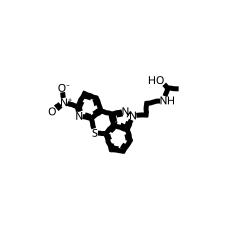 CC(O)NCCn1nc2c3c(cccc31)Sc1nc([N+](=O)[O-])ccc1-2